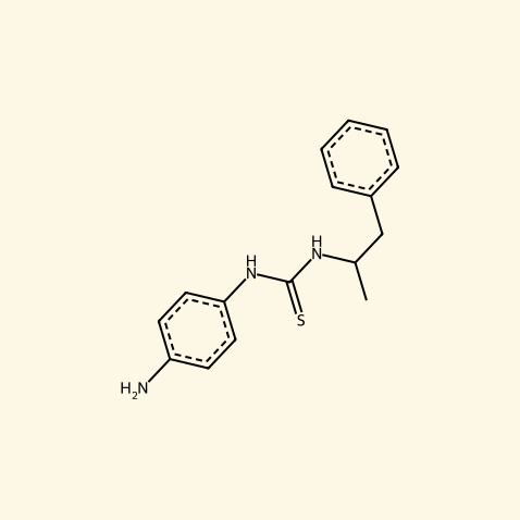 CC(Cc1ccccc1)NC(=S)Nc1ccc(N)cc1